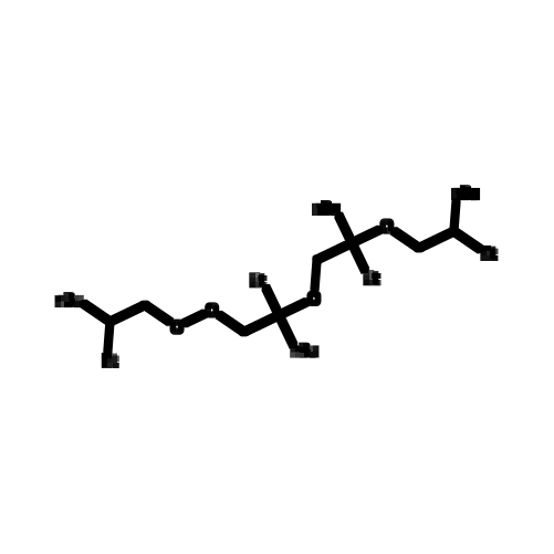 CCCCC(CC)COOCC(CC)(CCCC)OCC(CC)(CCCC)OCC(CC)CCCC